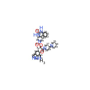 Cc1cc(CC(OC(=O)N2CCC3(CC2)NC(=O)Nc2ccccc23)C(=O)N2CCC(N3CCCCC3)CC2)cc2cn[nH]c12